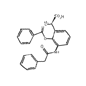 C[C@@H](C(=O)O)c1cccc(NC(=O)Cc2ccccc2)c1OC(=O)c1ccccc1